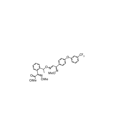 CON=C(C=NOC(C)c1ccccc1C(=NOC)C(=O)OC)c1ccc(Oc2cccc(C(F)(F)F)c2)cc1